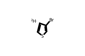 Brc1ccsc1.[2H]